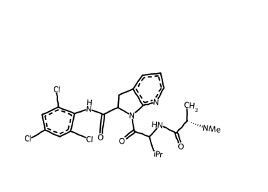 CN[C@@H](C)C(=O)NC(C(=O)N1c2ncccc2CC1C(=O)Nc1c(Cl)cc(Cl)cc1Cl)C(C)C